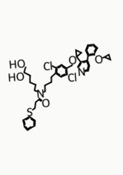 O=C(CCSc1ccccc1)N(CCCCc1cc(Cl)c(COC2(c3cnccc3-c3ccccc3OC3CC3)CC2)cc1Cl)CCCCC(O)CO